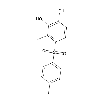 Cc1ccc(S(=O)(=O)c2ccc(O)c(O)c2C)cc1